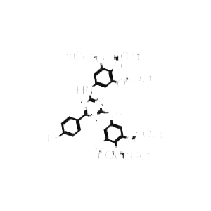 CCCCCCCCOc1cc(Nc2nc(Nc3cc(OCCCCCCCC)c(OCCCCCCCC)c(OCCCCCCCC)c3)nc(-c3ccc(CC)cc3)n2)cc(OCCCCCCCC)c1OCCCCCCCC